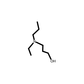 CCCN(CC)CCCO